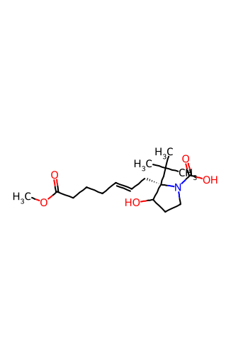 COC(=O)CCCC=CC[C@@]1(C(C)(C)C)C(O)CCN1C(=O)O